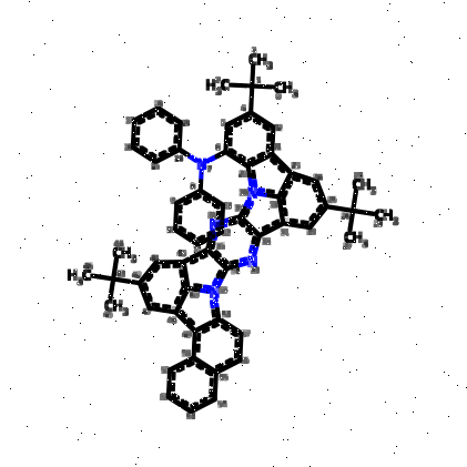 CC(C)(C)c1cc(N(c2ccccc2)c2ccccc2)c2c(c1)c1cc(C(C)(C)C)cc3c4nc5c(nc4n2c13)c1cc(C(C)(C)C)cc2c3c4ccccc4ccc3n5c12